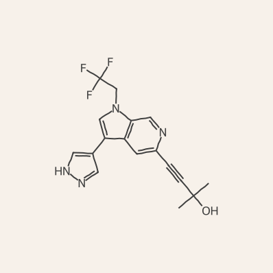 CC(C)(O)C#Cc1cc2c(-c3cn[nH]c3)cn(CC(F)(F)F)c2cn1